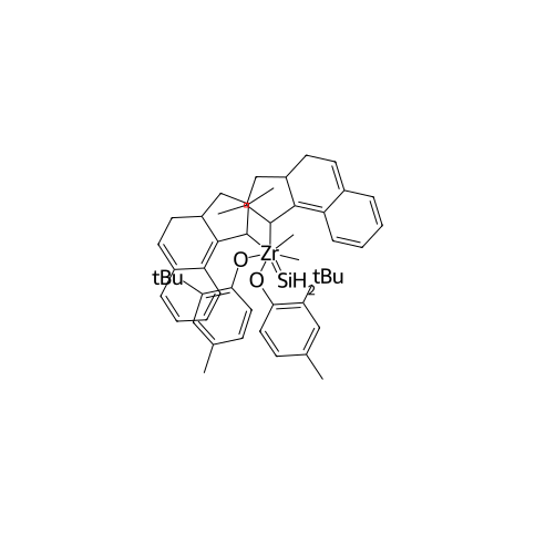 Cc1ccc([O][Zr]([CH3])([CH3])(=[SiH2])([O]c2ccc(C)cc2C(C)(C)C)([CH]2C3=c4ccccc4=CCC3CC2C)[CH]2C3=c4ccccc4=CCC3CC2C)c(C(C)(C)C)c1